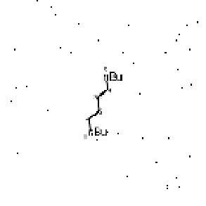 CC[CH]CCC[CH]CCCCC